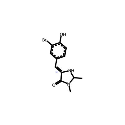 CC1N/C(=C\c2ccc(O)c(Br)c2)C(=O)N1C